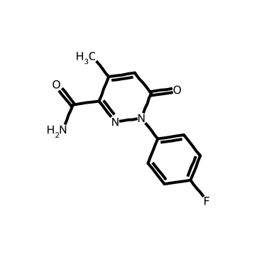 Cc1cc(=O)n(-c2ccc(F)cc2)nc1C(N)=O